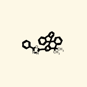 CC1(C)c2ccccc2C2(c3ccccc3-c3ccccc32)c2cc(-c3nnc(-c4ccccc4)o3)ccc21